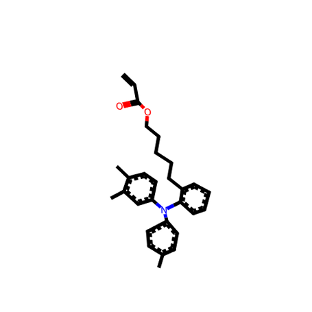 C=CC(=O)OCCCCCc1ccccc1N(c1ccc(C)cc1)c1ccc(C)c(C)c1